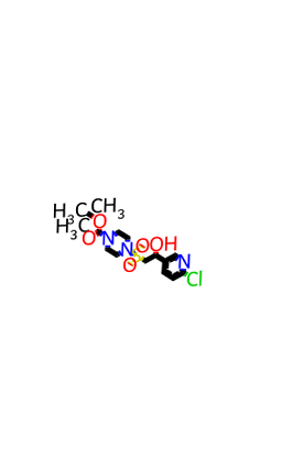 CC(C)(C)OC(=O)N1CCN(S(=O)(=O)CC(O)c2ccc(Cl)nc2)CC1